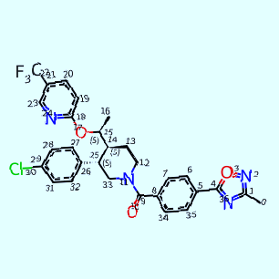 Cc1noc(-c2ccc(C(=O)N3CC[C@H]([C@H](C)Oc4ccc(C(F)(F)F)cn4)[C@@H](c4ccc(Cl)cc4)C3)cc2)n1